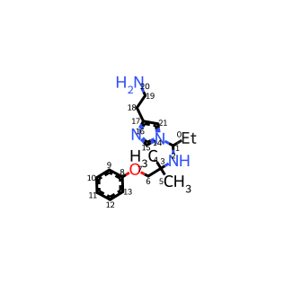 CCC(NC(C)(C)COc1ccccc1)n1cnc(CCN)c1